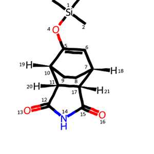 C[Si](C)(C)OC1=C[C@H]2CC[C@@H]1[C@H]1C(=O)NC(=O)[C@H]12